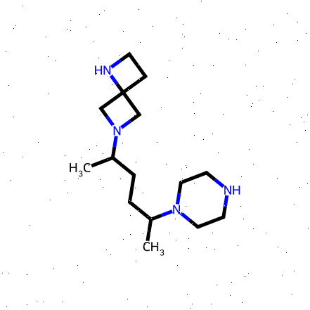 CC(CCC(C)N1CC2(CCN2)C1)N1CCNCC1